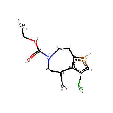 CCOC(=O)N1CCc2scc(Br)c2C(C)C1